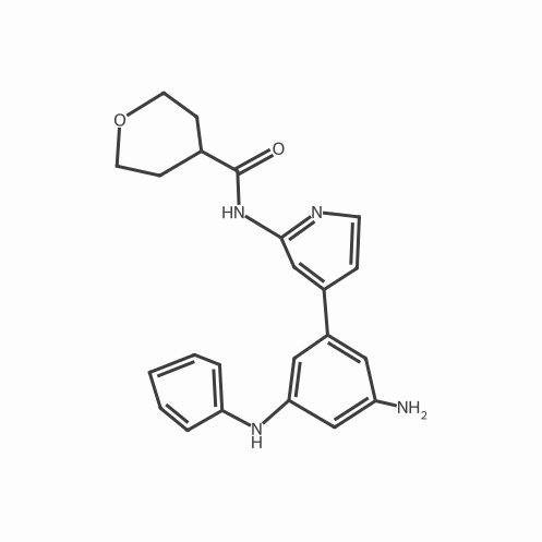 Nc1cc(Nc2ccccc2)cc(-c2ccnc(NC(=O)C3CCOCC3)c2)c1